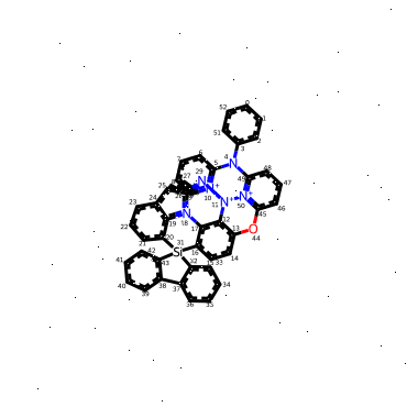 c1ccc(N2c3cccc[n+]3[N+]34c5c(ccc6c5-n5c7c(cccc7c7ccc[n+]3c75)[Si]63c5ccccc5-c5ccccc53)Oc3cccc2[n+]34)cc1